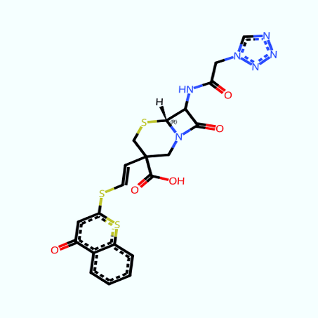 O=C(Cn1cnnn1)NC1C(=O)N2CC(C=CSc3cc(=O)c4ccccc4s3)(C(=O)O)CS[C@H]12